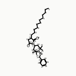 CCCCCCCCCCCCC1CC(=O)N(C2CC(C)(C)N(OCc3ccccc3)C(C)(C)C2)C1=O